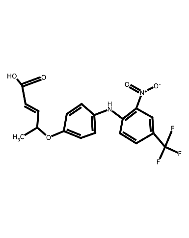 CC(/C=C/C(=O)O)Oc1ccc(Nc2ccc(C(F)(F)F)cc2[N+](=O)[O-])cc1